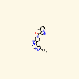 Cc1cccn2ncc(C(=O)N3CCc4c(nn(C)c4-c4cc(C(F)(F)F)nn4C)C3)c12